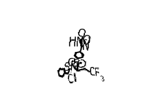 O=c1[nH]c(-c2ccc(S(=O)(=O)N(CCCC(F)(F)F)c3sc4ccccc4c3Cl)cc2)no1